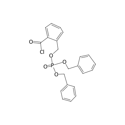 O=C(Cl)c1ccccc1COP(=O)(OCc1ccccc1)OCc1ccccc1